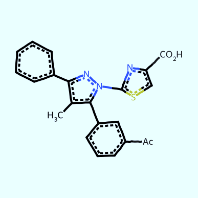 CC(=O)c1cccc(-c2c(C)c(-c3ccccc3)nn2-c2nc(C(=O)O)cs2)c1